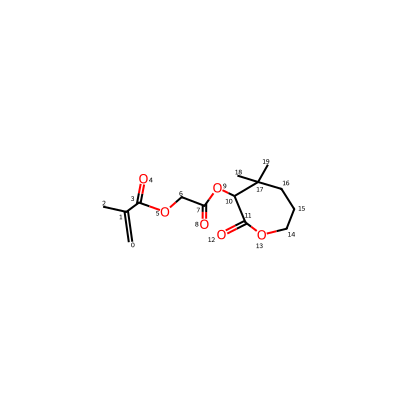 C=C(C)C(=O)OCC(=O)OC1C(=O)OCCCC1(C)C